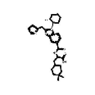 C[C@@H]1CCCC[C@H]1n1c(Cc2cccs2)nc2cc(C(=O)NC(CC3CCC(C)(C)CC3)C(=O)O)ccc21